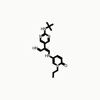 CCCn1cc(N/C=C(\C=N)c2cnc(NC(C)(C)C)nc2)ccc1=O